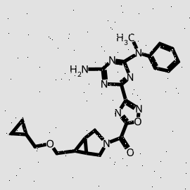 CN(c1ccccc1)c1nc(N)nc(-c2noc(C(=O)N3CC4C(COCC5CC5)C4C3)n2)n1